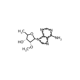 CO[C@H]1C(n2cnc3c(N)ncnc32)OC(C)[C@H]1O